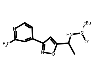 CC(N[S@@+]([O-])C(C)(C)C)c1cc(-c2ccnc(C(F)(F)F)c2)no1